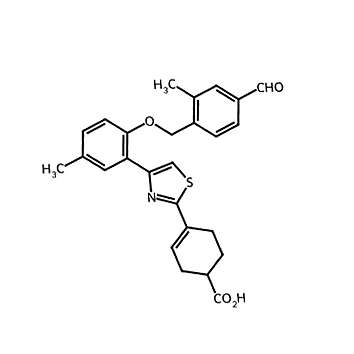 Cc1ccc(OCc2ccc(C=O)cc2C)c(-c2csc(C3=CCC(C(=O)O)CC3)n2)c1